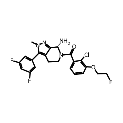 Cn1nc2c(c1-c1cc(F)cc(F)c1)CCN(C(=O)c1cccc(OCCF)c1Cl)[C@H]2N